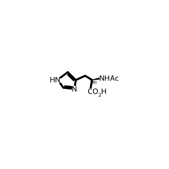 CC(=O)N[C@H](Cc1c[nH]cn1)C(=O)O